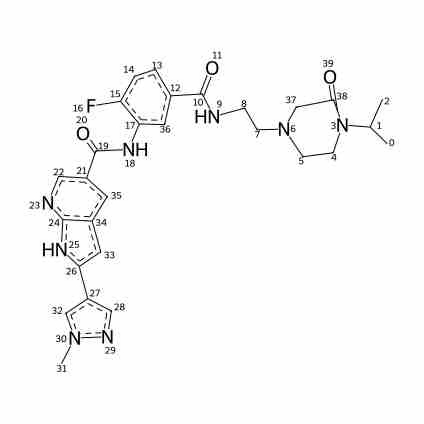 CC(C)N1CCN(CCNC(=O)c2ccc(F)c(NC(=O)c3cnc4[nH]c(-c5cnn(C)c5)cc4c3)c2)CC1=O